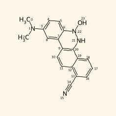 CN(C)c1ccc2c(c1)-c1ccc3c(C#N)cccc3c1NN2O